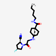 CCCCCNC(=O)C12CCC(NCC(=O)N3C[C@@H](F)C[C@H]3C#N)(CC1)CC2